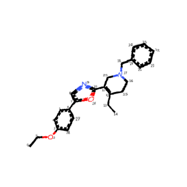 CCOc1ccc(-c2cnc(C3=C(CC)CCN(Cc4ccccc4)C3)o2)cc1